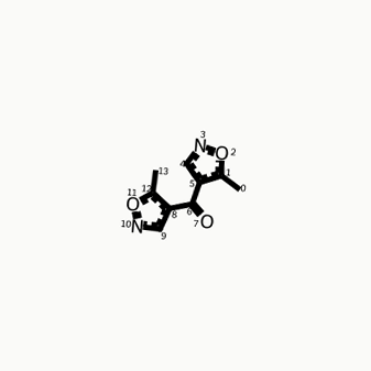 Cc1oncc1C(=O)c1cnoc1C